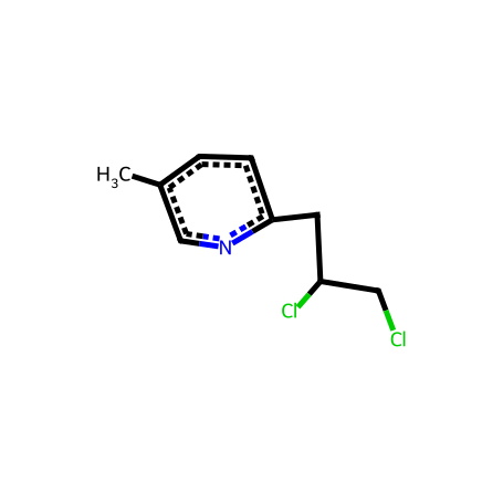 Cc1ccc(CC(Cl)CCl)nc1